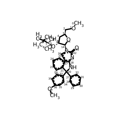 COC[C@@H]1C[C@@H](O[Si](C)(C)C(C)(C)C)[C@H](n2ccc(NC(c3ccccc3)(c3ccccc3)c3ccc(OC)cc3)nc2=O)O1